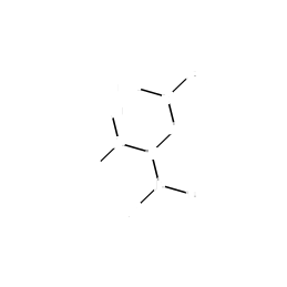 BB(B)PB(B(B)B)B(B)B